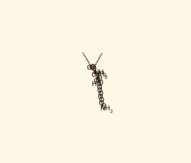 CCCCCCCCCCCCCCCC(=O)OCC(CSCC(N)C(=O)C(N)CSC1CC(=O)N(CCC(=O)NCCOCCOCCOCCOCCOCCOCCC(=O)CN)C1=O)OC(=O)CCCCCCCCCCCCCCC